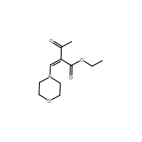 CCOC(=O)C(=CN1CCOCC1)C(C)=O